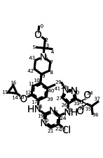 COCC(C)(C)N1CCC(c2cc(OC3CC3)c(Nc3ncc(Cl)c(Nc4cn(C)nc4S(=O)(=O)C(C)C)n3)cc2C)CC1